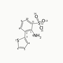 Nc1c(-c2cccs2)cccc1S(=O)(=O)Cl